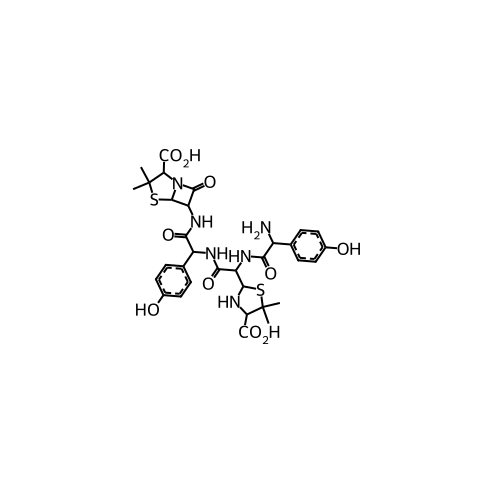 CC1(C)SC(C(NC(=O)C(N)c2ccc(O)cc2)C(=O)NC(C(=O)NC2C(=O)N3C2SC(C)(C)C3C(=O)O)c2ccc(O)cc2)NC1C(=O)O